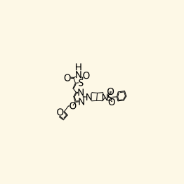 O=C1NC(=O)C(=Cc2cc(OCc3ccco3)nc(N3CC4CN(S(=O)(=O)c5ccccc5)CC4C3)n2)S1